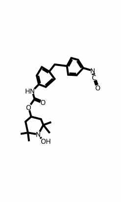 CC1(C)CC(OC(=O)Nc2ccc(Cc3ccc(N=C=O)cc3)cc2)CC(C)(C)N1O